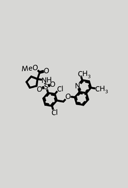 COC(=O)C1(NS(=O)(=O)c2ccc(Cl)c(COc3cccc4c(C)cc(C)nc34)c2Cl)CCCC1